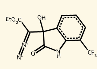 CCOC(=O)C(=[N+]=[N-])C1(O)C(=O)Nc2c(C(F)(F)F)cccc21